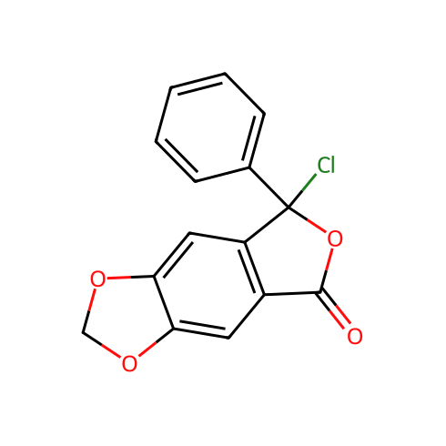 O=C1OC(Cl)(c2ccccc2)c2cc3c(cc21)OCO3